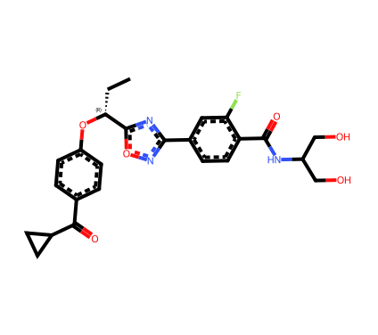 CC[C@@H](Oc1ccc(C(=O)C2CC2)cc1)c1nc(-c2ccc(C(=O)NC(CO)CO)c(F)c2)no1